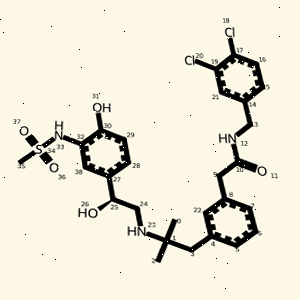 CC(C)(Cc1cccc(CC(=O)NCc2ccc(Cl)c(Cl)c2)c1)NC[C@@H](O)c1ccc(O)c(NS(C)(=O)=O)c1